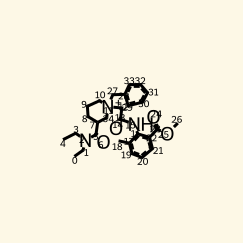 CCN(CC)C(=O)C1CCC[N+](CC(=O)Nc2c(C)cccc2C(=O)OC)(Cc2ccccc2)C1